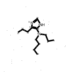 CCCCN(CCC)c1[nH][c]nc1CCC